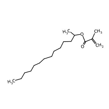 C=C(C)C(=O)OC(C)CCCCCCCCCCCC